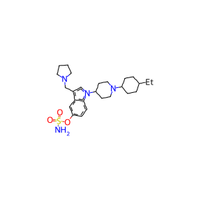 CCC1CCC(N2CCC(n3cc(CN4CCCC4)c4cc(OS(N)(=O)=O)ccc43)CC2)CC1